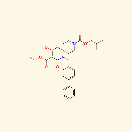 CCOC(=O)C1=C(O)CC2(CCN(C(=O)OCC(C)C)CC2)N(Cc2ccc(-c3ccccc3)cc2)C1=O